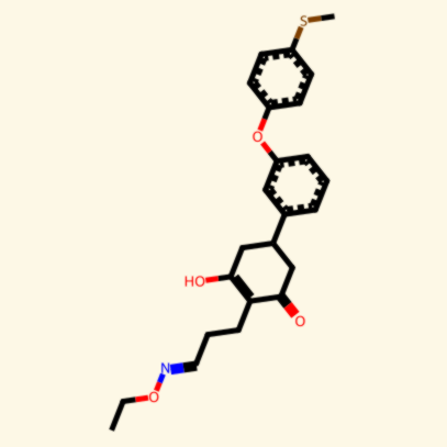 CCON=CCCC1=C(O)CC(c2cccc(Oc3ccc(SC)cc3)c2)CC1=O